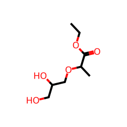 CCOC(=O)C(C)OCC(O)CO